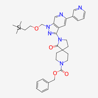 C[Si](C)(C)CCOCn1nc(N2CCC3(CCN(C(=O)OCc4ccccc4)CC3)C2=O)c2cc(-c3cccnc3)ncc21